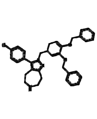 Clc1ccc(-c2c3c(nn2CC2C=C(OCc4ccccc4)C(OCc4ccccc4)=CC2)CCNCC3)cc1